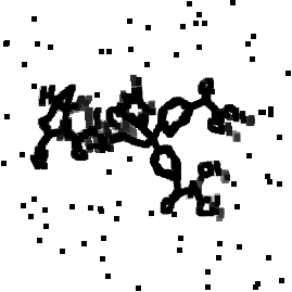 C[C@H](CC(c1ccc(C(=O)N(C)C)cc1)(c1ccc(C(=O)N(C)C)cc1)c1nn[nH]n1)NCC(=O)N1C(C#N)C[C@@H]2C[C@@H]21